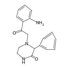 Nc1ccccc1C(=O)CN1CCNC(=O)C1c1ccccc1